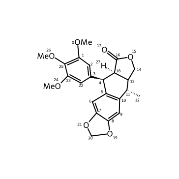 COc1cc([C@@H]2c3cc4c(cc3[C@@H](C)C3COC(=O)[C@@H]32)OCO4)cc(OC)c1OC